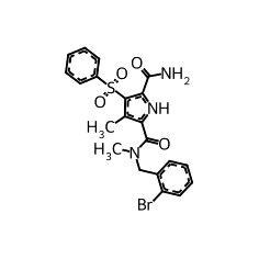 Cc1c(C(=O)N(C)Cc2ccccc2Br)[nH]c(C(N)=O)c1S(=O)(=O)c1ccccc1